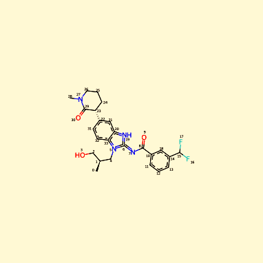 C[C@@H](CO)Cn1/c(=N/C(=O)c2cccc(C(F)F)c2)[nH]c2cc([C@H]3CCCN(C)C3=O)ccc21